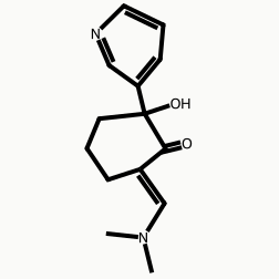 CN(C)/C=C1\CCCC(O)(c2cccnc2)C1=O